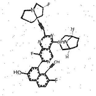 C#Cc1c(F)ccc2cc(O)cc(-c3ncc4c(N5C[C@H]6CC[C@@H](C5)N6)nc(C#C[C@@]56CCCN5C[C@H](F)C6)nc4c3F)c12